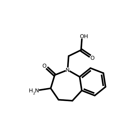 NC1CCc2ccccc2N(CC(=O)O)C1=O